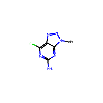 CCCn1nnc2c(Cl)nc(N)nc21